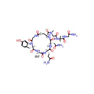 CC[C@H](C)[C@@H]1NC(=O)[C@H](Cc2ccc(O)cc2)NC(=O)CNC(=O)CC[C@@H](C(=O)N(C)CC(=O)NC(C)(C)C(=O)NCC(N)=O)NC(=O)[C@H](CC(N)=O)NC(=O)[C@H](CCC(N)=O)NC1=O